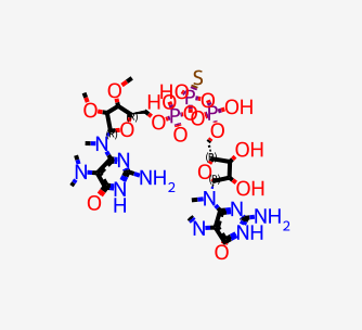 C=Nc1c(N(C)[C@@H]2O[C@H](COP(=O)(O)OP(O)(=S)OP(=O)(O)OC[C@H]3O[C@@H](N(C)c4nc(N)[nH]c(=O)c4N(C)C)C(OC)C3OC)C(O)C2O)nc(N)[nH]c1=O